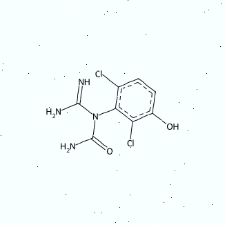 N=C(N)N(C(N)=O)c1c(Cl)ccc(O)c1Cl